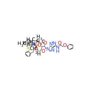 [2H]CC1OC(n2cnc3c(NC(=O)COc4ccccc4)ncnc32)C(OC)C1OP(OCCc1ccccc1SSC(C)(C)C)N(C(C)C)C(C)C